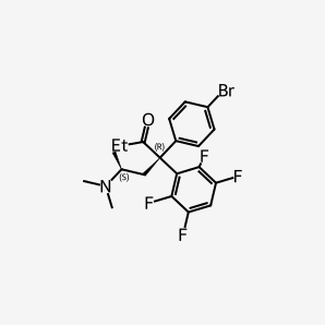 CCC(=O)[C@](C[C@H](C)N(C)C)(c1ccc(Br)cc1)c1c(F)c(F)cc(F)c1F